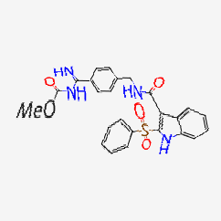 COC(=O)NC(=N)c1ccc(CNC(=O)c2c(S(=O)(=O)c3ccccc3)[nH]c3ccccc23)cc1